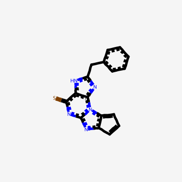 S=c1nc2nc3c(n2c2nc(Cc4ccccc4)[nH]c12)=CC=C3